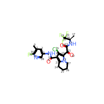 Cc1cc(NC(=O)c2c(Cl)c(C(=O)C(=O)N[C@H](C)C(F)(F)F)n3c2CCCC3)cnc1F